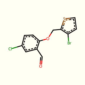 O=Cc1cc(Cl)ccc1OCc1sccc1Br